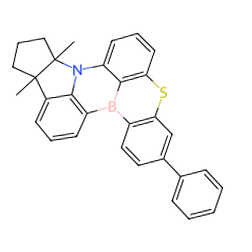 CC12CCCC1(C)N1c3cccc4c3B(c3ccc(-c5ccccc5)cc3S4)c3cccc2c31